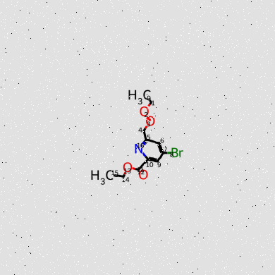 CCOOCc1cc(Br)cc(C(=O)OCC)n1